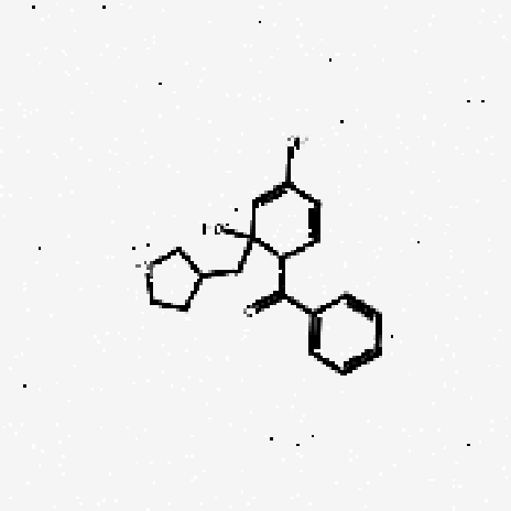 O=C(c1ccccc1)C1C=CC(O)=CC1(O)CC1CCNC1